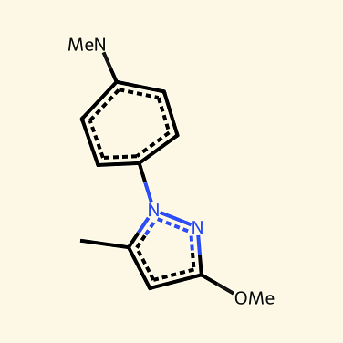 CNc1ccc(-n2nc(OC)cc2C)cc1